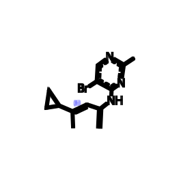 C=C(/C=C(\C)C1CC1)Nc1nc(C)ncc1Br